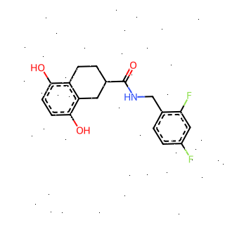 O=C(NCc1ccc(F)cc1F)C1CCc2c(O)ccc(O)c2C1